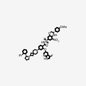 COc1ccc([C@H]2COc3cc(S(=O)(=O)NC(=O)c4ccc(N5CCC6(CC5)CC(N5CCC[C@H]5c5ccccc5C(C)C)C6)cc4Oc4cnc5[nH]cc(F)c5c4)cc([N+](=O)[O-])c3N2)cc1